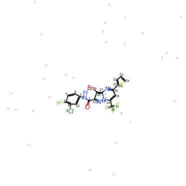 O=C(Nc1ccc(F)c(Cl)c1)c1nn2c(C(F)(F)F)cc(-c3cccs3)nc2c1Br